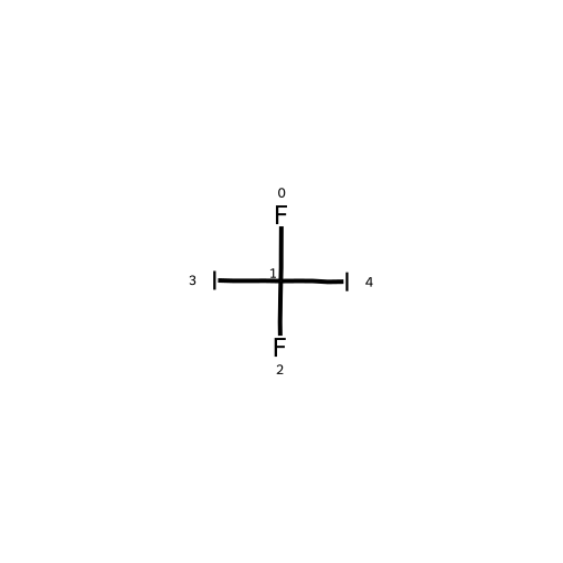 FC(F)(I)I